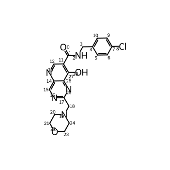 O=C(NCc1ccc(Cl)cc1)c1cnc2cnc(CN3CCOCC3)nc2c1O